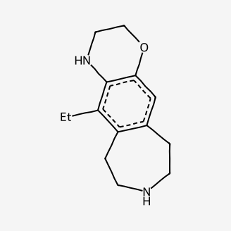 CCc1c2c(cc3c1NCCO3)CCNCC2